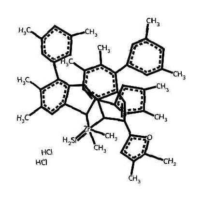 Cc1cc(C)cc(-c2c(C)c(C)cc3c2C=C(c2cc(C)c(C)o2)[CH]3[Zr]([CH3])([CH3])(=[SiH2])[CH]2C(c3cc(C)c(C)o3)=Cc3c2cc(C)c(C)c3-c2cc(C)cc(C)c2)c1.Cl.Cl